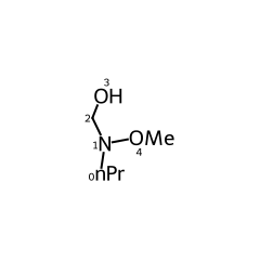 CCCN(CO)OC